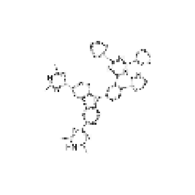 CC1=NC(c2ccc3c(c2)c2cc(-c4nc(C)nc(C)n4)ccc2n3-c2ccc(-c3cccnc3)c(-c3nc(-c4ccccc4)nc(-c4ccccc4)n3)c2)=NC(C)N1